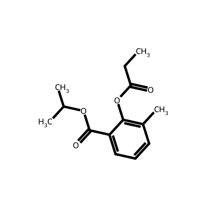 CCC(=O)Oc1c(C)cccc1C(=O)OC(C)C